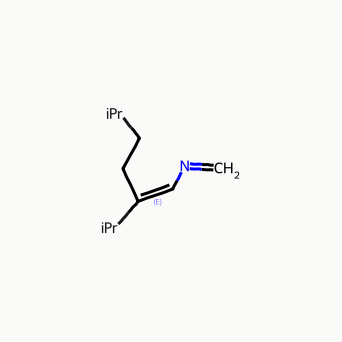 C=N/C=C(\CCC(C)C)C(C)C